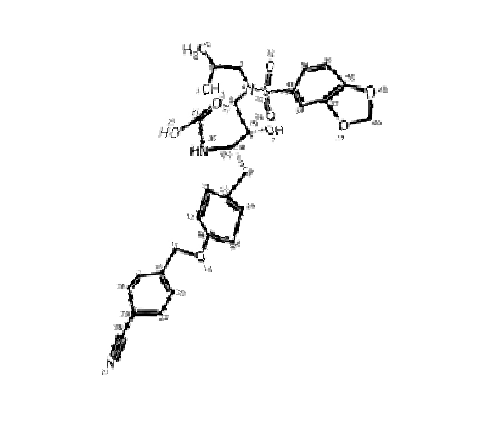 CC(C)CN(C[C@H](O)[C@H](Cc1ccc(OCc2ccc(C#N)cc2)cc1)NC(=O)O)S(=O)(=O)c1ccc2c(c1)OCO2